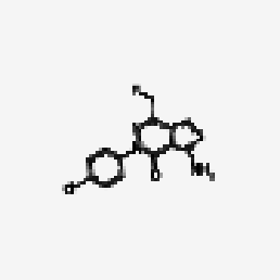 Nc1scc2c(CF)nn(-c3ccc(Cl)cc3)c(=O)c12